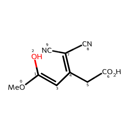 COC(O)=CC(CC(=O)O)=C(C#N)C#N